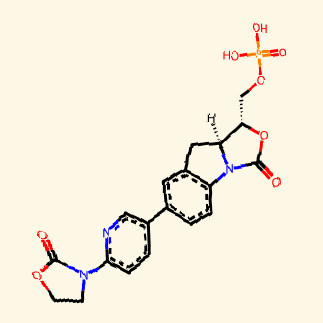 O=C1OCCN1c1ccc(-c2ccc3c(c2)C[C@H]2[C@H](COP(=O)(O)O)OC(=O)N32)cn1